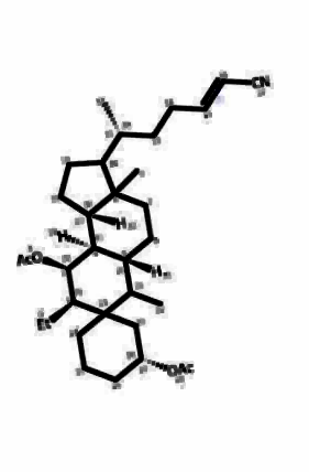 CC[C@H]1[C@@H](OC(C)=O)[C@@H]2[C@H](CCC3(C)C([C@H](C)CC/C=C/C#N)CC[C@@H]23)C(C)C12CCC[C@@H](OC(C)=O)C2